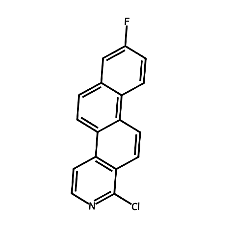 Fc1ccc2c(ccc3c4ccnc(Cl)c4ccc23)c1